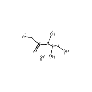 CC(=O)CC(=O)C(O)C(O)CO.[Sn]